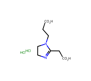 Cl.Cl.O=C(O)CCN1CCN=C1CC(=O)O